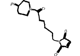 CC(C)C1CCN(C(=O)CCCCCN2C(=O)C=CC2=O)CC1